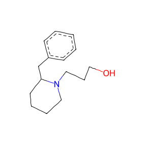 OCCCN1CCCCC1Cc1ccccc1